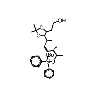 CC(/C=C\[C@@H](C)C(C)O[Si](c1ccccc1)(c1ccccc1)C(C)(C)C)C1OC(C)(C)OC1CCO